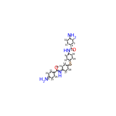 Nc1ccc(C(=O)Nc2ccc(Sc3ccc(NC(=O)c4ccc(N)cc4)cc3)cc2)cc1